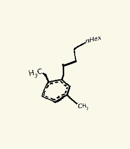 CCCCCCCCCc1cc(C)ccc1C